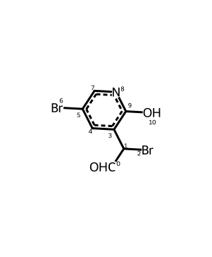 O=CC(Br)c1cc(Br)cnc1O